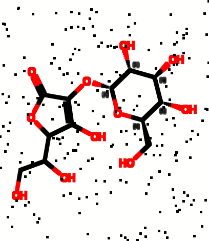 O=C1OC(C(O)CO)C(O)=C1O[C@H]1O[C@H](CO)[C@@H](O)[C@H](O)[C@H]1O